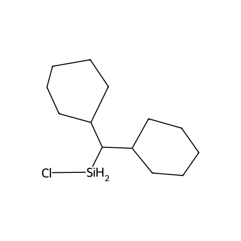 Cl[SiH2]C(C1CCCCC1)C1CCCCC1